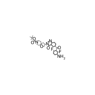 CC(C)(C)OC(=O)N1CCC2(CC1)CC(n1cnc3ccc(C(=O)c4c(F)ccc(N)c4F)cc3c1=O)CO2